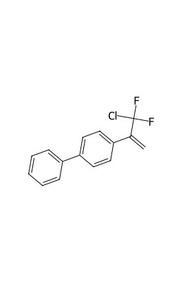 C=C(c1ccc(-c2ccccc2)cc1)C(F)(F)Cl